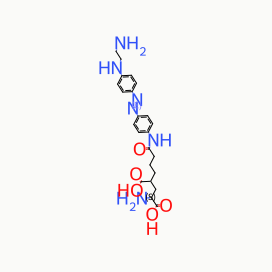 NCCNc1ccc(/N=N/c2ccc(NC(=O)CCCC(C[C@H](N)C(=O)O)C(=O)O)cc2)cc1